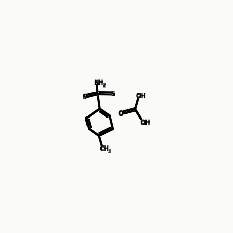 Cc1ccc(S(N)(=S)=S)cc1.O=C(O)O